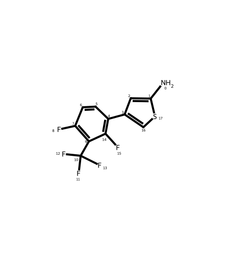 Nc1cc(-c2ccc(F)c(C(F)(F)F)c2F)cs1